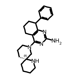 Nc1nc2c(c(N3CCC[C@]4(CCCCN4)C3)n1)CCCC2c1ccccc1